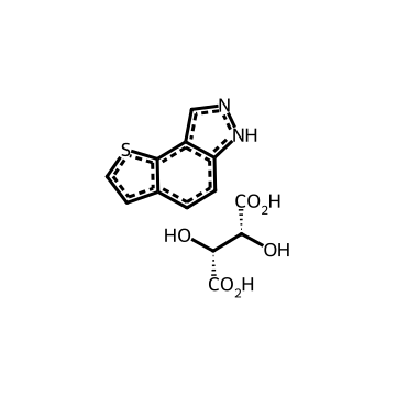 O=C(O)[C@H](O)[C@@H](O)C(=O)O.c1cc2ccc3[nH]ncc3c2s1